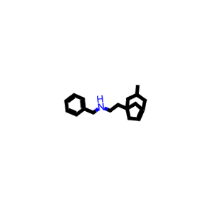 CC1CC2=CCC(CCNCc3ccccc3)(C2)C1